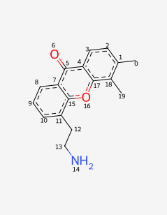 Cc1ccc2c(=O)c3cccc(CCN)c3oc2c1C